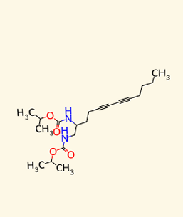 CCCCC#CC#CCCC(CNC(=O)OC(C)C)NC(=O)OC(C)C